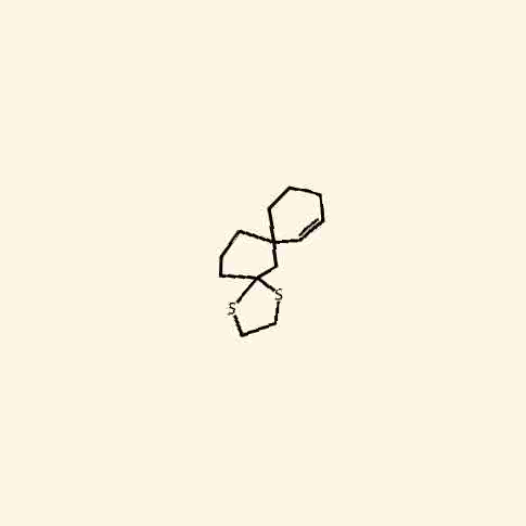 C1=CC2(CCC1)CCCC1(C2)SCCS1